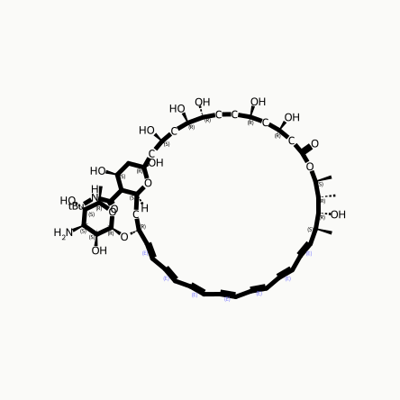 C[C@@H]1[C@H](O)[C@@H](C)/C=C/C=C/C=C/C=C/C=C/C=C/C=C/[C@H](O[C@@H]2O[C@H](C)[C@@H](O)[C@H](N)[C@@H]2O)C[C@@H]2O[C@](O)(C[C@@H](O)C[C@@H](O)[C@H](O)CC[C@@H](O)C[C@@H](O)CC(=O)O[C@H]1C)C[C@H](O)C2C(=O)NC(C)(C)C